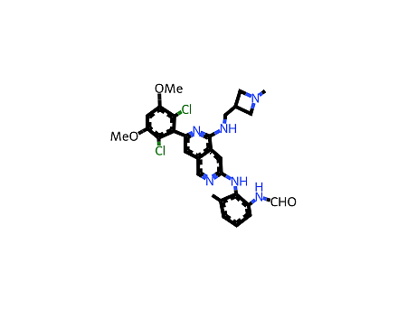 COc1cc(OC)c(Cl)c(-c2cc3cnc(Nc4c(C)cccc4NC=O)cc3c(NCC3CN(C)C3)n2)c1Cl